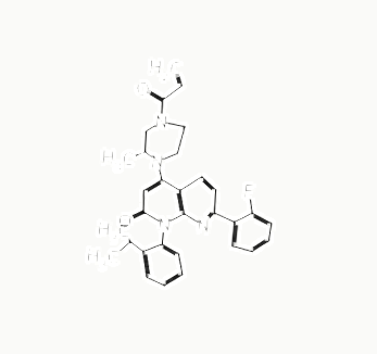 C=CC(=O)N1CCN(c2cc(=O)n(-c3ccccc3C(C)C)c3nc(-c4ccccc4F)ccc23)[C@@H](C)C1